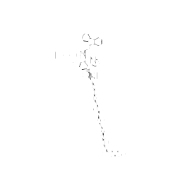 COCCOCCOCCOCCOCCOCCOCCNS(=O)(=O)c1cccc([C@@H](CN2CCCC2)N(CCC2c3ccccc3-c3ccccc32)C(=O)O)c1